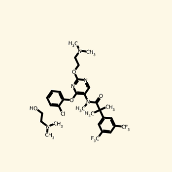 CN(C)CCO.CN(C)CCOc1ncc(N(C)C(=O)C(C)(C)c2cc(C(F)(F)F)cc(C(F)(F)F)c2)c(Oc2ccccc2Cl)n1